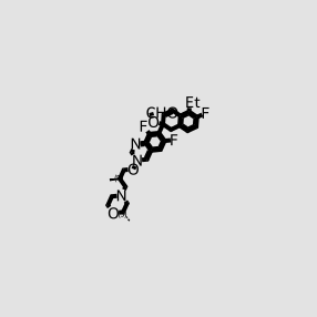 CCc1c(F)ccc2c1C=CC(OC=O)(c1c(F)cc3c(c1F)=NCN(OC[C@H](C)CN1CCO[C@@H](C)C1)C=3)C2